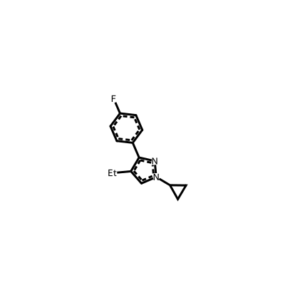 CCc1cn(C2CC2)nc1-c1ccc(F)cc1